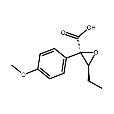 CC[C@@H]1O[C@]1(C(=O)O)c1ccc(OC)cc1